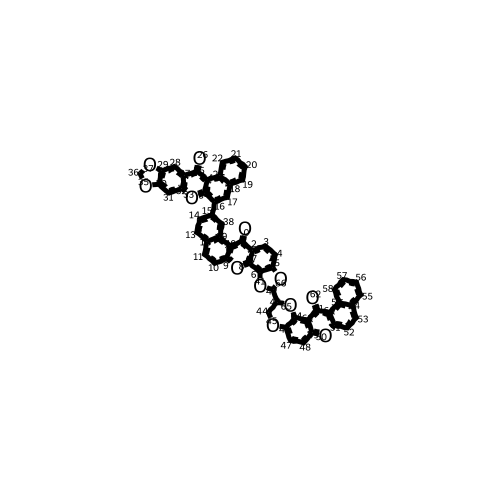 O=c1c2ccc3c(c2oc2ccc4ccc(-c5cc6ccccc6c6c(=O)c7cc8c(cc7oc56)OCO8)cc4c12)OC(C1COc2ccc4oc5ccc6ccccc6c5c(=O)c4c2O1)O3